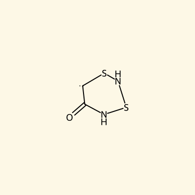 O=C1[CH]SNSN1